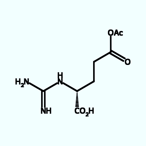 CC(=O)OC(=O)CC[C@@H](NC(=N)N)C(=O)O